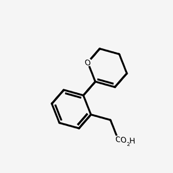 O=C(O)Cc1ccccc1C1=CCCCO1